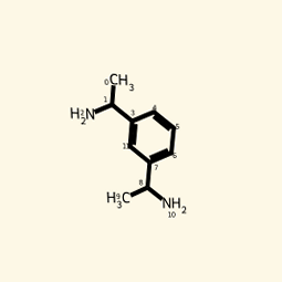 CC(N)c1cccc(C(C)N)c1